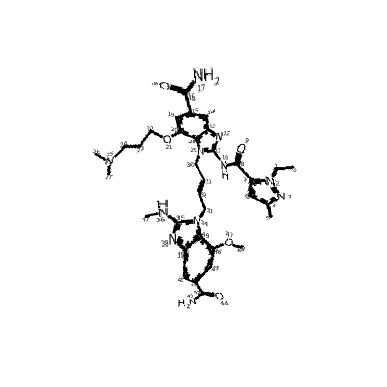 CCn1nc(C)cc1C(=O)Nc1nc2cc(C(N)=O)cc(OCCCN(C)C)c2n1C/C=C/Cn1c(NC)nc2cc(C(N)=O)cc(OC)c21